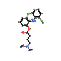 CCCN(CCC)CCCC(=O)Oc1ccccc1Nc1c(Cl)cccc1Cl